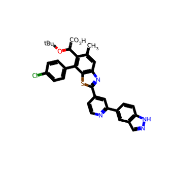 Cc1cc2nc(-c3ccnc(-c4ccc5[nH]ncc5c4)c3)sc2c(-c2ccc(Cl)cc2)c1C(OC(C)(C)C)C(=O)O